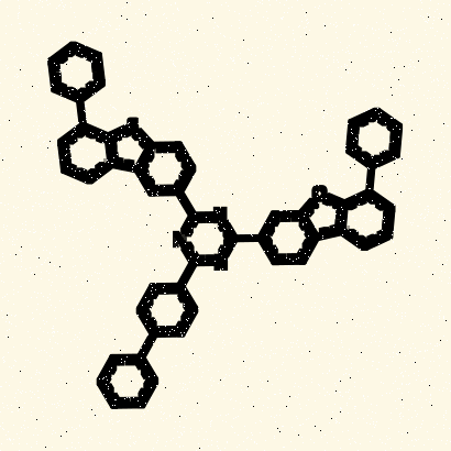 c1ccc(-c2ccc(-c3nc(-c4ccc5c(c4)oc4c(-c6ccccc6)cccc45)nc(-c4ccc5sc6c(-c7ccccc7)cccc6c5c4)n3)cc2)cc1